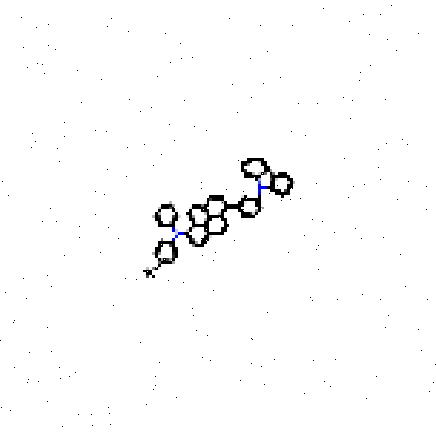 N#Cc1ccc(N(c2ccccc2)c2ccc3ccc4c(-c5cccc(-n6c7ccccc7c7ccccc76)c5)ccc5ccc2c3c54)cc1